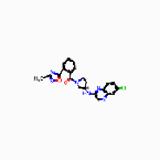 Cc1noc(-c2ccccc2C(=O)N2CC[C@@H](Nc3cnc4cc(Cl)ccc4n3)C2)n1